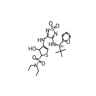 CCN(CC)S(=O)(=O)C1SC=C(NC2=NS(=O)(=O)N=C2N[C@@H](c2ccco2)C(C)(C)C)C1O